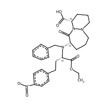 CCOC(=O)[C@H](CCc1ccc([N+](=O)[O-])cc1)N(Cc1ccccc1)[C@H]1CCCN2CCC[C@@H](C(=O)O)N2C1=O